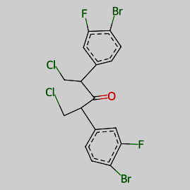 O=C(C(CCl)c1ccc(Br)c(F)c1)C(CCl)c1ccc(Br)c(F)c1